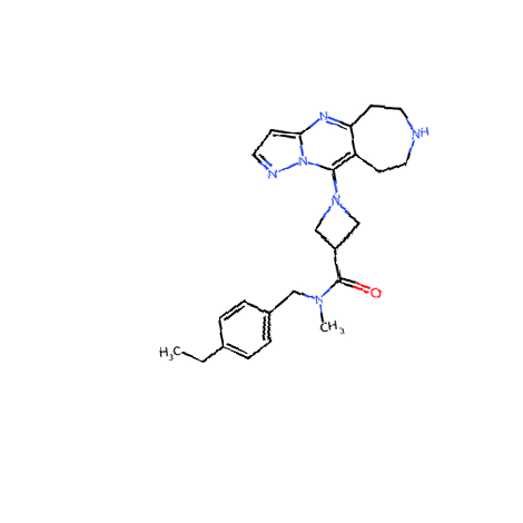 CCc1ccc(CN(C)C(=O)C2CN(c3c4c(nc5ccnn35)CCNCC4)C2)cc1